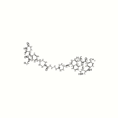 Cc1ccc(N[C@H]2CNC[C@H]2F)cc1C(=O)N[C@H](C)c1ccc(C#CC2CCN(CCCCC(=O)N3CCC(c4ccc5c(c4)n(C)c(=O)n5C4CCC(=O)NC4=O)CC3)CC2)c2ccccc12